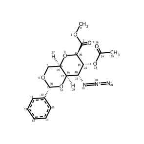 COC(=O)[C@@H]1O[C@@H]2CO[C@@H](c3ccccc3)O[C@@H]2[C@@H](N=[N+]=[N-])[C@H]1OC(C)=O